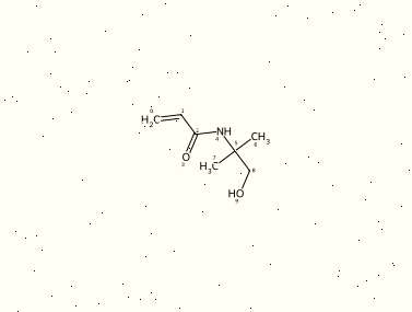 C=CC(=O)NC(C)(C)CO